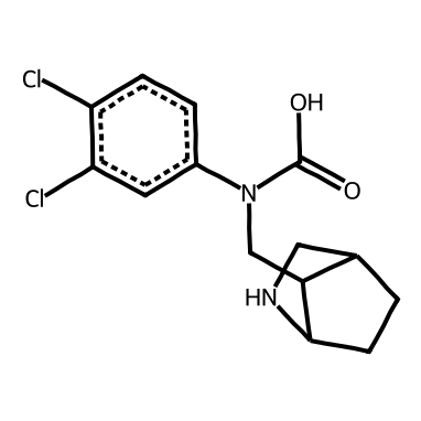 O=C(O)N(CC1C2CCC1NC2)c1ccc(Cl)c(Cl)c1